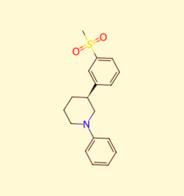 CS(=O)(=O)c1cccc([C@@H]2CCCN(c3ccccc3)C2)c1